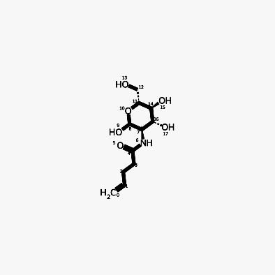 C=CCCC(=O)N[C@H]1C(O)O[C@H](CO)[C@@H](O)[C@@H]1O